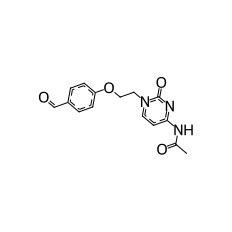 CC(=O)Nc1ccn(CCOc2ccc(C=O)cc2)c(=O)n1